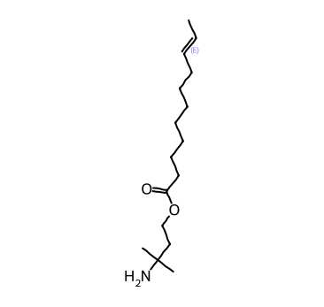 C/C=C/CCCCCCCC(=O)OCCC(C)(C)N